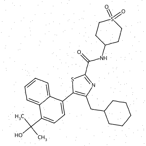 CC(C)(O)c1ccc(-c2sc(C(=O)NC3CCS(=O)(=O)CC3)nc2CC2CCCCC2)c2ccccc12